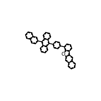 c1ccc2cc(-c3c4ccccc4c(-c4ccc(-c5cccc6c5oc5cc7ccccc7cc56)cc4)c4ccccc34)ccc2c1